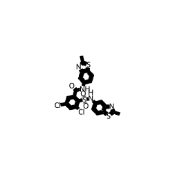 Cc1nc2cc(NC(=O)c3cc(Cl)cc(Cl)c3S(=O)(=O)Nc3ccc4sc(C)nc4c3)ccc2s1